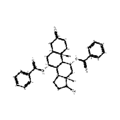 CC(=O)C1CCC2C3C([C@H](OC(=O)c4ccccc4)C[C@]12C)[C@@]1(C)CCC(=O)CC1C[C@H]3OC(=O)c1ccccc1